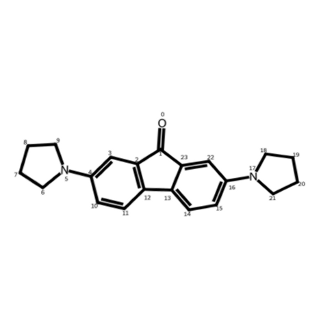 O=C1c2cc(N3CCCC3)ccc2-c2ccc(N3CCCC3)cc21